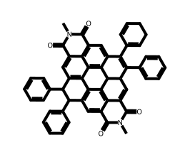 CN1C(=O)C2=CC3C(c4ccccc4)=C(C4=CCCC=C4)c4cc5c6c(cc7c8c6c4C3c3c2c(cc(c3-8)C(c2ccccc2)C7c2ccccc2)C1=O)C(=O)N(C)C5=O